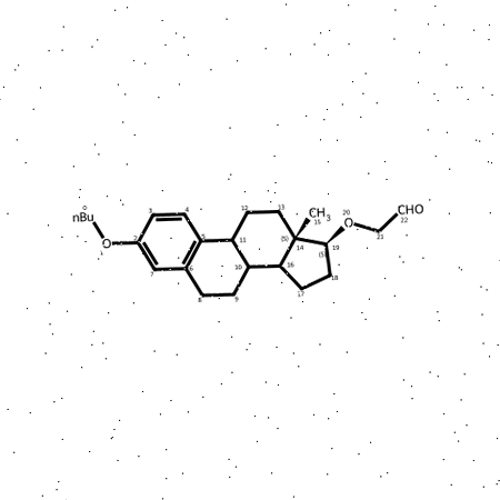 CCCCOc1ccc2c(c1)CCC1C2CC[C@@]2(C)C1CC[C@@H]2OCC=O